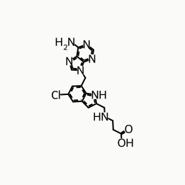 Nc1ncnc2c1ncn2Cc1cc(Cl)cc2cc(CNCCC(=O)O)[nH]c12